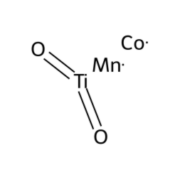 [Co].[Mn].[O]=[Ti]=[O]